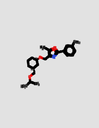 COc1cccc(-c2nc(CO[C@H]3CCC[C@@H](COC(C)C(=O)O)C3)c(C)o2)c1